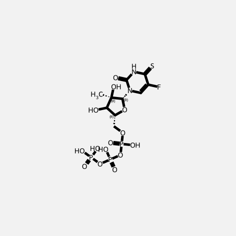 C[C@@]1(O)C(O)[C@@H](COP(=O)(O)OP(=O)(O)OP(=O)(O)O)O[C@H]1n1cc(F)c(=S)[nH]c1=O